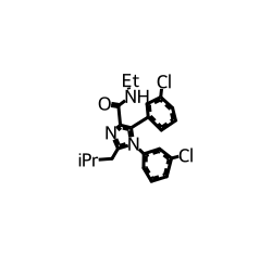 CCNC(=O)c1nc(CC(C)C)n(-c2cccc(Cl)c2)c1-c1cccc(Cl)c1